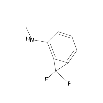 CNc1cccc2c1C2(F)F